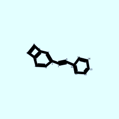 C(#Cc1ccc2c(c1)C=C2)c1ccccc1